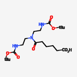 CC(C)(C)OC(=O)NCCN(CCNC(=O)OC(C)(C)C)C(=O)CCCCC(=O)O